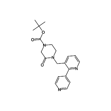 CC(C)(C)OC(=O)N1CCN(Cc2cccnc2-c2ccncc2)C(=O)C1